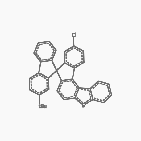 CC(C)(C)c1ccc2c(c1)C1(c3ccccc3-2)c2cc(Cl)ccc2-c2c1ccc1sc3ccccc3c21